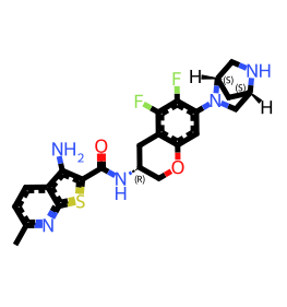 Cc1ccc2c(N)c(C(=O)N[C@H]3COc4cc(N5C[C@@H]6C[C@H]5CN6)c(F)c(F)c4C3)sc2n1